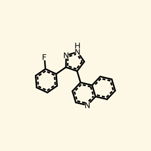 Fc1ccccc1-c1n[nH]cc1-c1ccnc2ccccc12